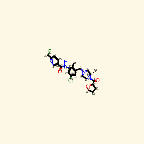 Cc1c(CN2CCN(C(=O)[C@H]3CCCO3)[C@@H](C)C2)cc(Cl)cc1NC(=O)c1ccc(CF)nc1